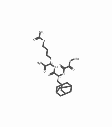 CC(C)(C)OC(=O)C(=O)N[C@@H](CC12CC3CC(CC(C3)C1)C2)C(=O)N[C@@H](CCCCOC(N)=O)C(N)=O